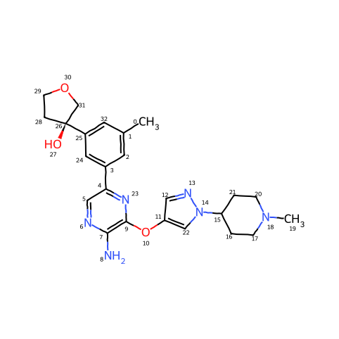 Cc1cc(-c2cnc(N)c(Oc3cnn(C4CCN(C)CC4)c3)n2)cc([C@]2(O)CCOC2)c1